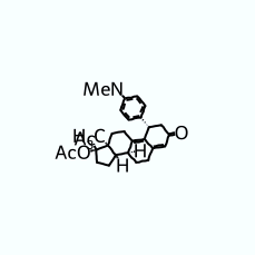 CNc1ccc([C@@H]2CC(=O)C=C3CC[C@@H]4C(=C32)CC[C@@]2(C)[C@H]4CC[C@]2(OC(C)=O)C(C)=O)cc1